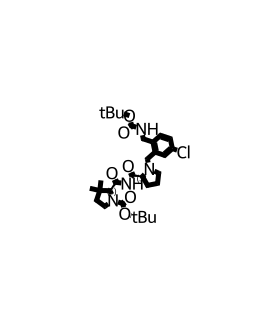 CC(C)(C)OC(=O)NCc1ccc(Cl)cc1CN1CCC[C@H]1C(=O)NC(=O)[C@H]1N(C(=O)OC(C)(C)C)CCC1(C)C